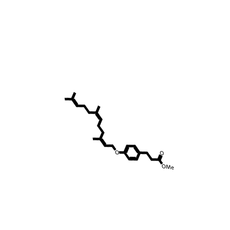 COC(=O)CCc1ccc(OCC=C(C)CCC=C(C)CCC=C(C)C)cc1